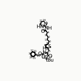 CC(C)(C)OC(=O)[C@H](Cc1ccc(CCCCCC(=O)NC2=NCCCN2)s1)NC(=O)OCc1ccccc1